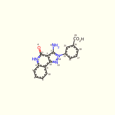 Nc1c2c(=O)[nH]c3ccccc3c2nn1-c1cccc(C(=O)O)c1